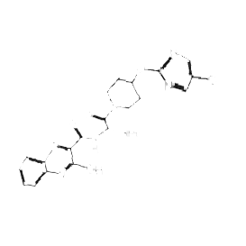 CC(C)[C@H](NC(=O)c1nc2ccccc2nc1O)C(=O)N1CCC(Oc2ncc(Cl)cn2)CC1